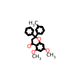 COc1cc(OC)c2c(c1)OC(c1ccccc1)(c1cccc(C)c1)CC2=O